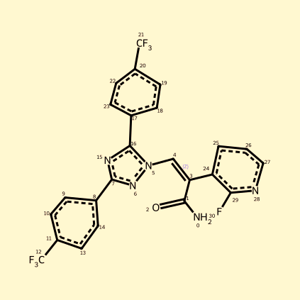 NC(=O)/C(=C\n1nc(-c2ccc(C(F)(F)F)cc2)nc1-c1ccc(C(F)(F)F)cc1)c1cccnc1F